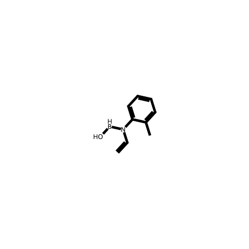 C=CN(BO)c1ccccc1C